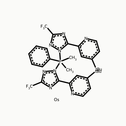 CC(C)(C)c1ccnc(-c2nc(C(F)(F)F)nn2P(C)(C)(c2ccccc2)n2nc(C(F)(F)F)nc2-c2cc(C(C)(C)C)ccn2)c1.[Os]